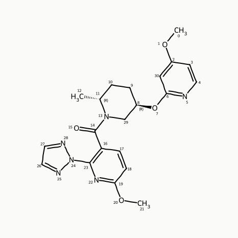 COc1ccnc(O[C@@H]2CC[C@@H](C)N(C(=O)c3ccc(OC)nc3-n3nccn3)C2)c1